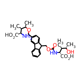 C[C@@H]([C@@H](C)OCc1ccc2c(c1)-c1ccccc1C2COC(=O)N[C@@H](C(=O)O)[C@@H](C)[C@H](C)O)[C@@H](N)C(=O)O